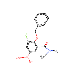 CN(C)C(=O)c1cc(B(O)O)cc(F)c1OCc1ccccc1